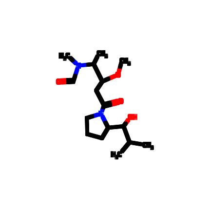 COC(CC(=O)N1CCCC1C(O)C(C)C)C(C)N(C)C=O